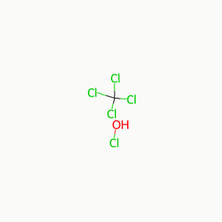 ClC(Cl)(Cl)Cl.OCl